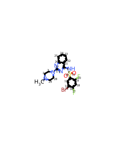 CN1CCN(c2nc(NS(=O)(=O)c3cc(Br)c(F)cc3F)c3ccccc3n2)CC1